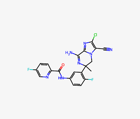 CC1(c2cc(NC(=O)c3ccc(F)cn3)ccc2F)Cn2c(nc(Cl)c2C#N)C(N)=N1